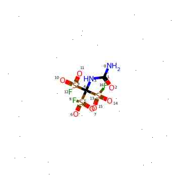 NC(=O)NC(S(=O)(=O)F)(S(=O)(=O)F)S(=O)(=O)F